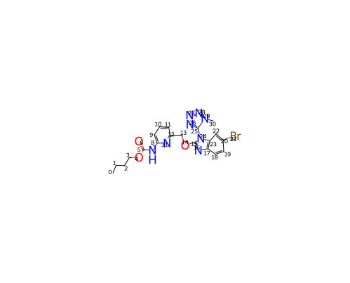 CCCCOC(=O)Nc1cccc(COc2nc3ccc(Br)cc3n2-c2nnnn2C)n1